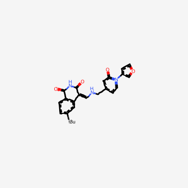 CC(C)(C)c1ccc2c(c1)/C(=C/NCc1ccn(-c3ccoc3)c(=O)c1)C(=O)NC2=O